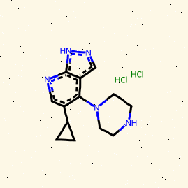 Cl.Cl.c1nc2[nH]ncc2c(N2CCNCC2)c1C1CC1